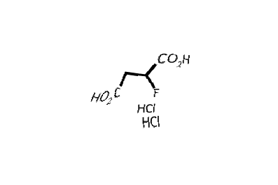 Cl.Cl.O=C(O)CC(F)C(=O)O